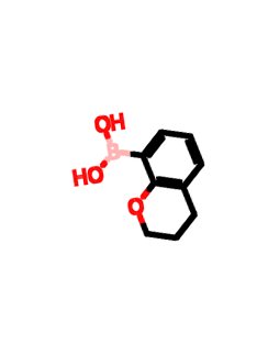 OB(O)c1cccc2c1OCCC2